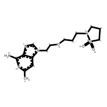 Cc1cc2c(ncn2CCOCCCN2CCCS2(=O)=O)c(N)n1